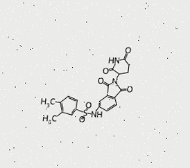 Cc1ccc(S(=O)(=O)Nc2ccc3c(c2)C(=O)N(C2CCC(=O)NC2=O)C3=O)cc1C